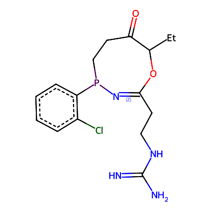 CCC1O/C(CCNC(=N)N)=N\P(c2ccccc2Cl)CCC1=O